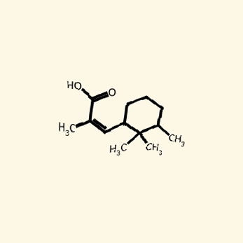 CC(=C[C]1CCCC(C)C1(C)C)C(=O)O